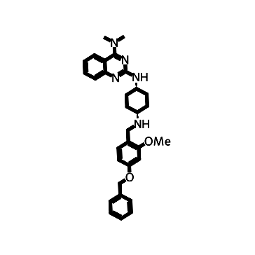 COc1cc(OCc2ccccc2)ccc1CN[C@H]1CC[C@@H](Nc2nc(N(C)C)c3ccccc3n2)CC1